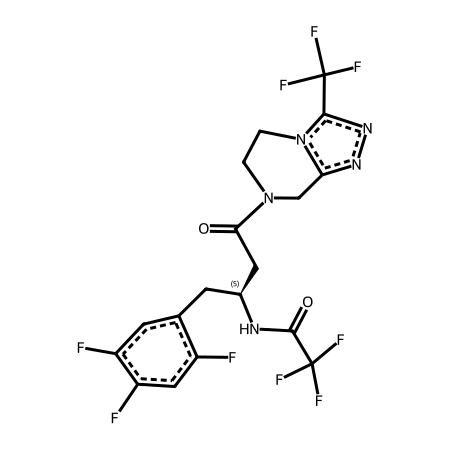 O=C(C[C@H](Cc1cc(F)c(F)cc1F)NC(=O)C(F)(F)F)N1CCn2c(nnc2C(F)(F)F)C1